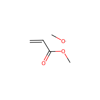 C=CC(=O)OC.C[O]